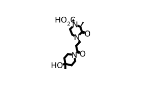 C[C@H]1C(=O)N(CCC(=O)N2CCC(C)(O)CC2)CCN1C(=O)O